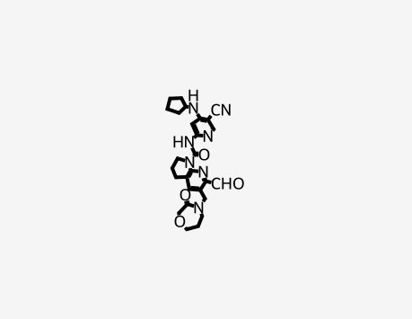 N#Cc1cnc(NC(=O)N2CCCc3cc(CN4CCCOCC4=O)c(C=O)nc32)cc1NC1CCCC1